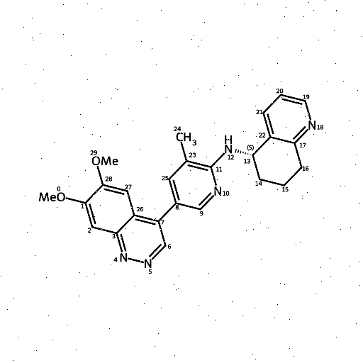 COc1cc2nncc(-c3cnc(N[C@H]4CCCc5ncccc54)c(C)c3)c2cc1OC